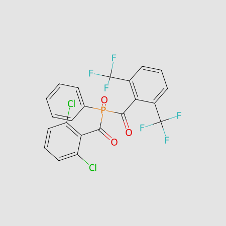 O=C(c1c(Cl)cccc1Cl)P(=O)(C(=O)c1c(C(F)(F)F)cccc1C(F)(F)F)c1ccccc1